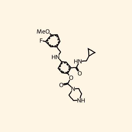 COc1ccc(CNc2ccc(OC(=O)N3CCNCC3)c(C(=O)NCC3CC3)c2)cc1F